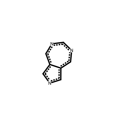 c1ncc2cncc-2cn1